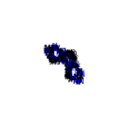 c1cnc2c(cc3ncc4nc3c2c2ccc3ccc5ccc(nc5c3n2)c2c3nccnc3c(-c3ccc5ccc6ccc(-c7c8nccnc8c8c9ccc%10ccc%11ccc(nc%11c%10n9)c9c%10nccnc%10cc%10ncc(nc%109)c9cnc7c8n9)nc6c5n3)c3ncc4nc32)n1